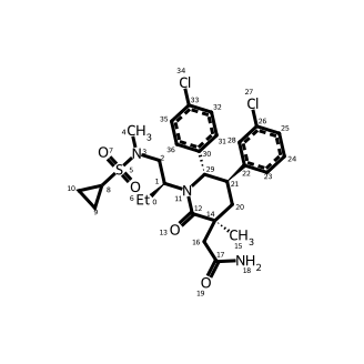 CC[C@@H](CN(C)S(=O)(=O)C1CC1)N1C(=O)[C@](C)(CC(N)=O)C[C@H](c2cccc(Cl)c2)[C@H]1c1ccc(Cl)cc1